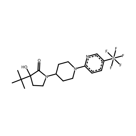 CC(C)(C)C1(O)CCN(C2CCN(c3ccc(S(F)(F)(F)(F)F)cn3)CC2)C1=O